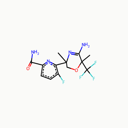 CC1(c2nc(C(N)=O)ccc2F)COC(C)(C(F)(F)F)C(N)=N1